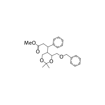 COC(=O)CC(c1ccccc1)C1COC(C)(C)OC1COCc1ccccc1